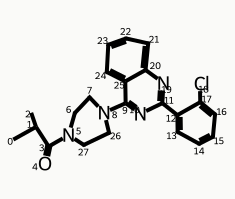 CC(C)C(=O)N1CCN(c2nc(-c3ccccc3Cl)nc3ccccc23)CC1